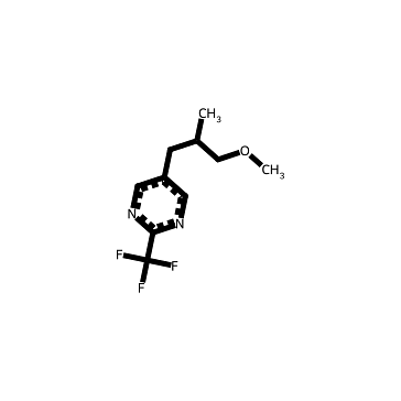 COCC(C)Cc1cnc(C(F)(F)F)nc1